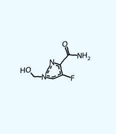 NC(=O)c1nn(CO)cc1F